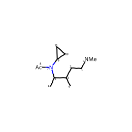 CNCCC(C)C(C)N(C(C)=O)C1CC1